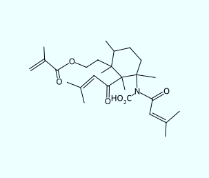 C=C(C)C(=O)OCCC1(C)C(C)CCC(C)(N(C(=O)O)C(=O)C=C(C)C)C1(C)C(=O)C=C(C)C